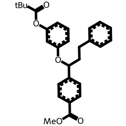 COC(=O)c1ccc(C(CCc2ccccc2)Oc2cccc(OC(=O)C(C)(C)C)c2)cc1